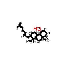 CC(C)=CCC[C@@H](C)[C@H]1CC[C@H]2C3=C(CC[C@]12C)[C@@]1(C)C(O)CC[C@@H](C)[C@@H]1CC3